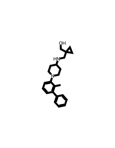 Cc1c(-c2ccccc2)cccc1N1CCC(NCC2(CO)CC2)CC1